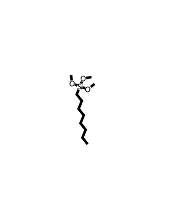 CCCCCCCC[Si](OC)(OC)OC